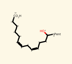 CCCCCC(O)CC/C=C\C/C=C\CCCCC(=O)O